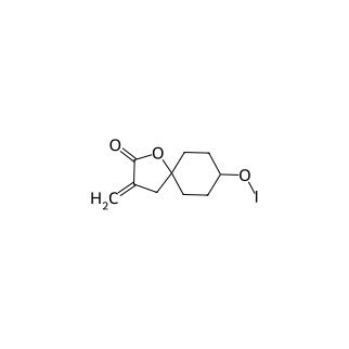 C=C1CC2(CCC(OI)CC2)OC1=O